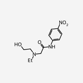 CCN(CCO)CC(=O)Nc1ccc([N+](=O)[O-])cc1